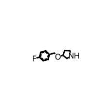 Fc1ccc(COC2CCNC2)cc1